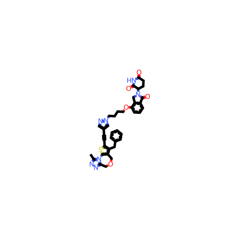 Cc1nnc2n1-c1sc(C#Cc3cnn(CCCCOc4cccc5c4CN(C4CCC(=O)NC4=O)C5=O)c3)c(Cc3ccccc3)c1COC2